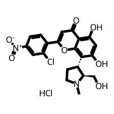 CN1CC[C@H](c2c(O)cc(O)c3c(=O)cc(-c4ccc([N+](=O)[O-])cc4Cl)oc23)[C@H]1CO.Cl